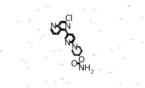 NC(=O)OC1CCN(c2ccc(-c3nc(Cl)cc4ncccc34)cn2)CC1